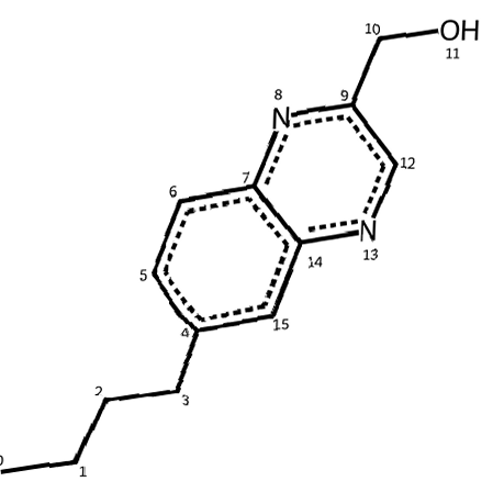 CCCCc1ccc2nc(CO)cnc2c1